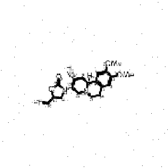 COc1cc2c(cc1OC)[C@@H]1C[C@H](N)[C@@H](N3CC(CF)OC3=O)CN1CC2